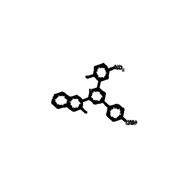 COc1ccc(-c2cc(-c3cc([N+](=O)[O-])ccc3C)nc(-c3cc4ccccc4cc3C)c2)cc1